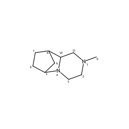 CN1CCN2C3CCC(C3)C2C1